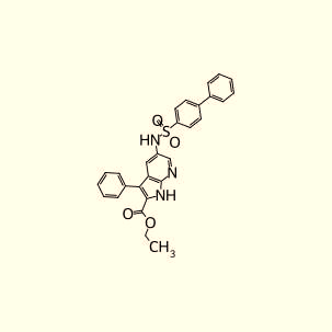 CCOC(=O)c1[nH]c2ncc(NS(=O)(=O)c3ccc(-c4ccccc4)cc3)cc2c1-c1ccccc1